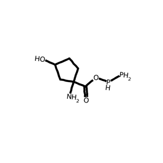 NC1(C(=O)OPP)CCC(O)C1